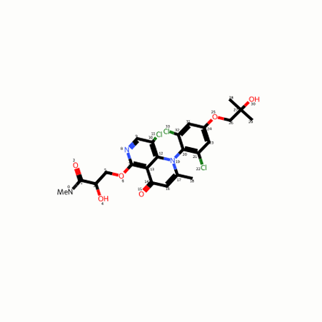 CNC(=O)C(O)COc1ncc(Cl)c2c1c(=O)cc(C)n2-c1c(Cl)cc(OCC(C)(C)O)cc1Cl